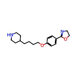 c1cc(C2=NCCO2)ccc1OCCCCC1CCNCC1